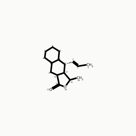 C/C=C/[C@H]1C2CCCCC2CC2C(=O)OC(C)C21